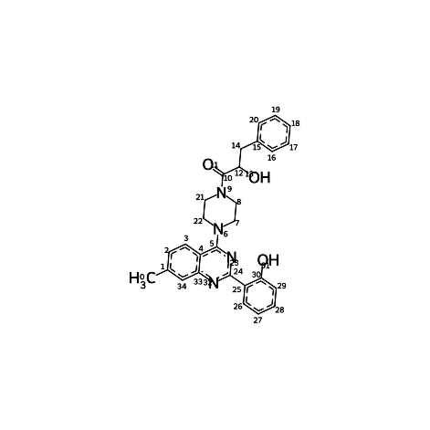 Cc1ccc2c(N3CCN(C(=O)C(O)Cc4ccccc4)CC3)nc(-c3ccccc3O)nc2c1